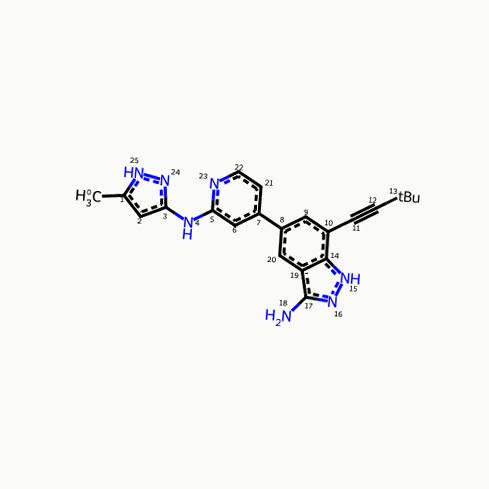 Cc1cc(Nc2cc(-c3cc(C#CC(C)(C)C)c4[nH]nc(N)c4c3)ccn2)n[nH]1